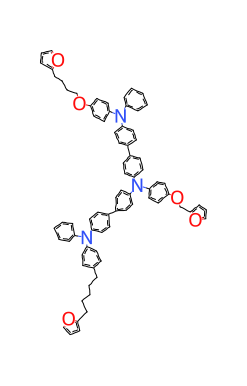 c1ccc(N(c2ccc(CCCCCc3ccco3)cc2)c2ccc(-c3ccc(N(c4ccc(OCc5ccco5)cc4)c4ccc(-c5ccc(N(c6ccccc6)c6ccc(OCCCCc7ccco7)cc6)cc5)cc4)cc3)cc2)cc1